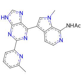 CC(=O)Nc1nccc2c(-c3nc(-c4cccc(C)n4)nc4[nH]cnc34)cn(C)c12